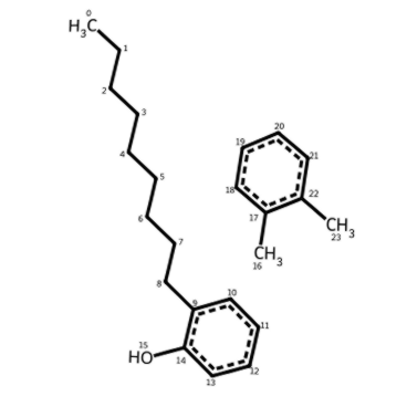 CCCCCCCCCc1ccccc1O.Cc1ccccc1C